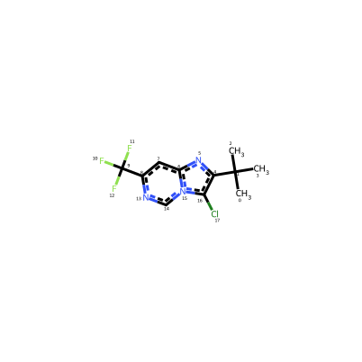 CC(C)(C)c1nc2cc(C(F)(F)F)ncn2c1Cl